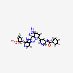 COc1cc(F)cc(-c2nccc3[nH]c(-c4n[nH]c5ccc(-c6cncc(NC(=O)c7ccccc7)c6)nc45)nc23)c1